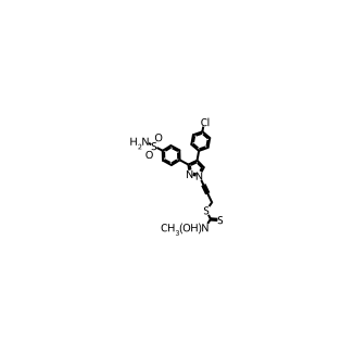 CN(O)C(=S)SCC#Cn1cc(-c2ccc(Cl)cc2)c(-c2ccc(S(N)(=O)=O)cc2)n1